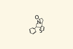 O=C1CCC2c3ccsc3C(c3ccccc3)CN12